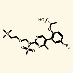 Cc1nc(N(COCC[Si](C)(C)C)S(C)(=O)=O)ncc1-c1cc(C(F)(F)F)ccc1O[C@@H](C)C(=O)O